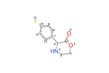 O=C1OCCNC1c1ccc(F)cc1